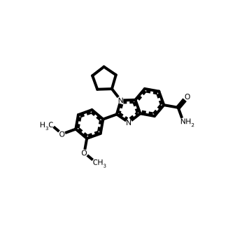 COc1ccc(-c2nc3cc(C(N)=O)ccc3n2C2CCCC2)cc1OC